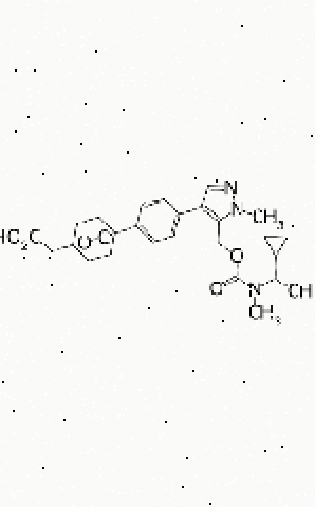 CC(C1CC1)N(C)C(=O)OCc1c(-c2ccc(C34CCC(CC(=O)O)(CC3)OC4)cc2)cnn1C